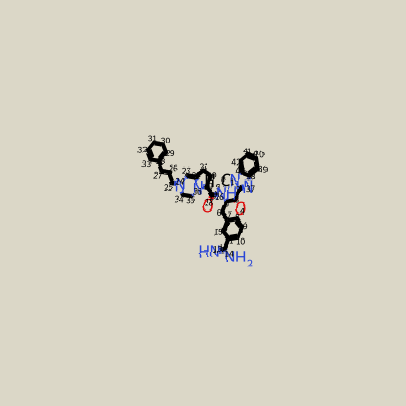 Cn1c(C(=O)C(Cc2cccc(C(=N)N)c2)NC(=O)C2CCC3CN(CCCc4ccccc4)CCN32)nc2ccccc21